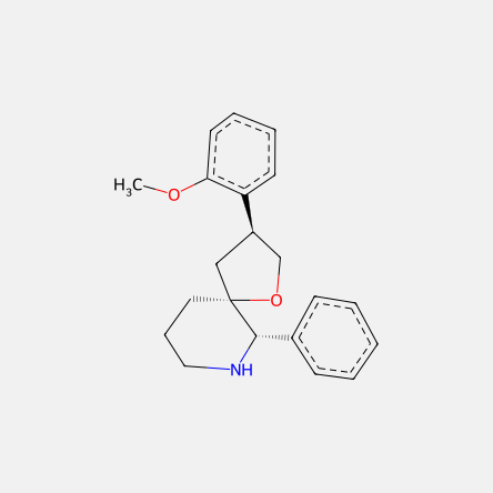 COc1ccccc1[C@H]1CO[C@]2(CCCN[C@H]2c2ccccc2)C1